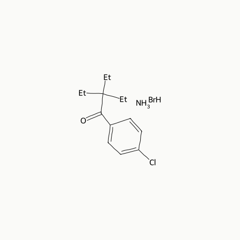 Br.CCC(CC)(CC)C(=O)c1ccc(Cl)cc1.N